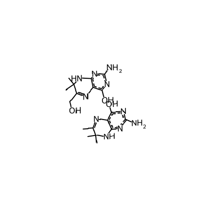 CC1(C)Nc2nc(N)nc(O)c2N=C1CO.CC1=Nc2c(O)nc(N)nc2NC1(C)C